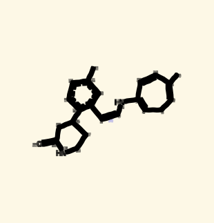 CC1=CCC=C(N/C=C\c2cc(C)ccc2C2CCNC(=O)C2)C=C1